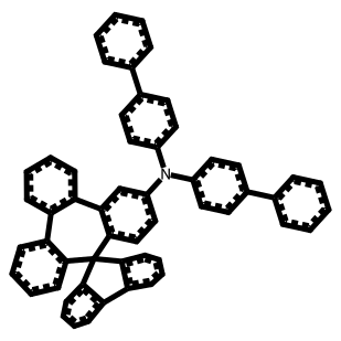 c1ccc(-c2ccc(N(c3ccc(-c4ccccc4)cc3)c3ccc4c(c3)-c3ccccc3-c3ccccc3C43c4ccccc4-c4ccccc43)cc2)cc1